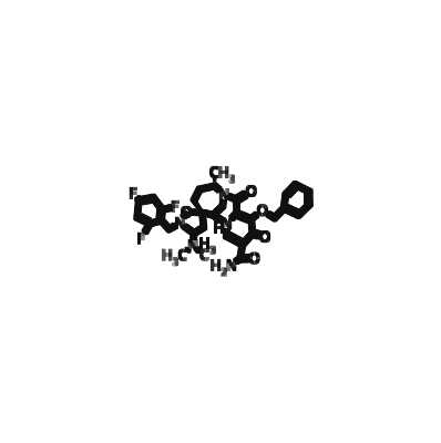 C[C@H]1CC[C@]2(CC(N(C)C)N(Cc3c(F)cc(F)cc3F)O2)[C@H]2CN1C(=O)c1c(OCc3ccccc3)c(=O)c(C(N)=O)cn12